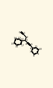 C#CCC(C#Cc1ccccc1)c1ccccc1